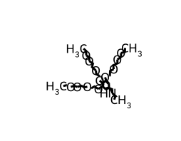 CCNCc1cc(OCCOCCOCOCC)c(OCCOCCOCOCC)c(OCCOCCOCOCC)c1